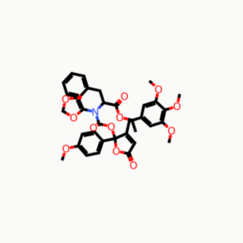 CCOC(=O)C(Cc1ccccc1)N(C(=O)OC1(c2ccc(OC)cc2)OC(=O)C=C1Cc1cc(OC)c(OC)c(OC)c1)C1=COCO1